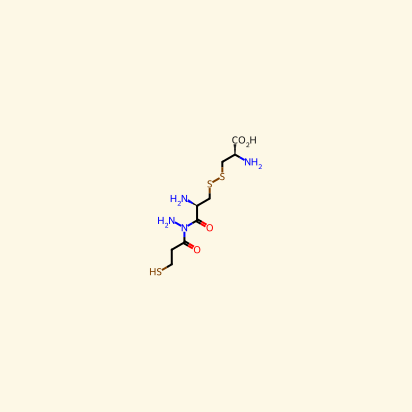 N[C@@H](CSSC[C@H](N)C(=O)N(N)C(=O)CCS)C(=O)O